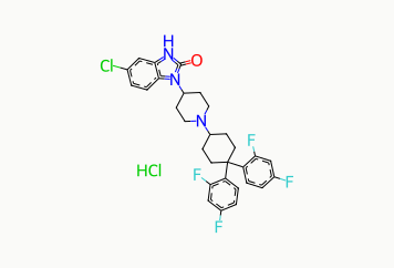 Cl.O=c1[nH]c2cc(Cl)ccc2n1C1CCN(C2CCC(c3ccc(F)cc3F)(c3ccc(F)cc3F)CC2)CC1